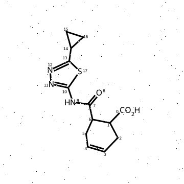 O=C(O)C1CC=CCC1C(=O)Nc1nnc(C2CC2)s1